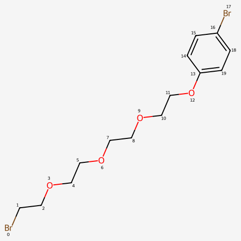 BrCCOCCOCCOCCOc1ccc(Br)cc1